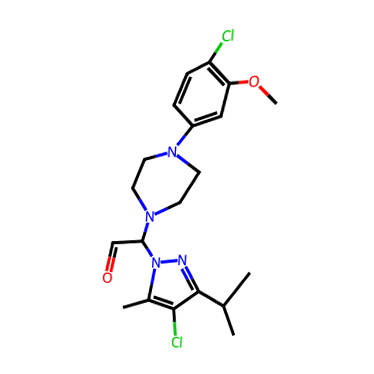 COc1cc(N2CCN(C(C=O)n3nc(C(C)C)c(Cl)c3C)CC2)ccc1Cl